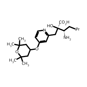 CC(C)C[C@H](N)[C@](O)(Cc1cc(OC2CC(C)(C)OC(C)(C)C2)ccn1)C(=O)O